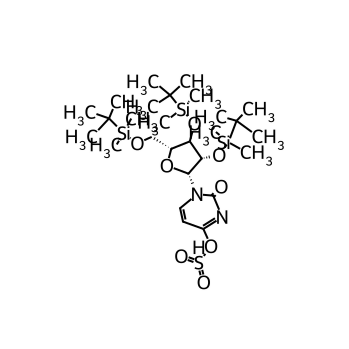 CC(C)(C)[Si](C)(C)OC[C@H]1O[C@@H](n2ccc(O[SH](=O)=O)nc2=O)[C@@H](O[Si](C)(C)C(C)(C)C)C1O[Si](C)(C)C(C)(C)C